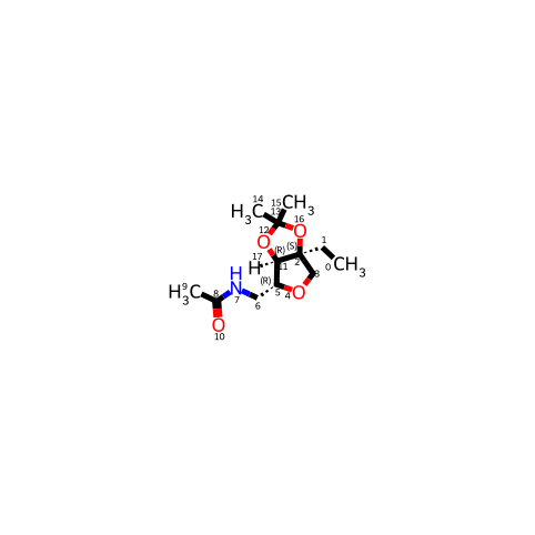 CC[C@]12CO[C@H](CNC(C)=O)[C@H]1OC(C)(C)O2